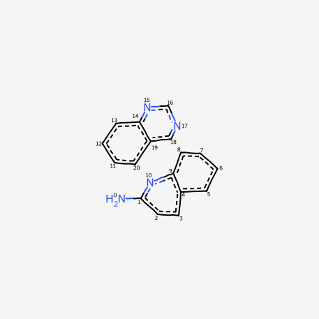 Nc1ccc2ccccc2n1.c1ccc2ncncc2c1